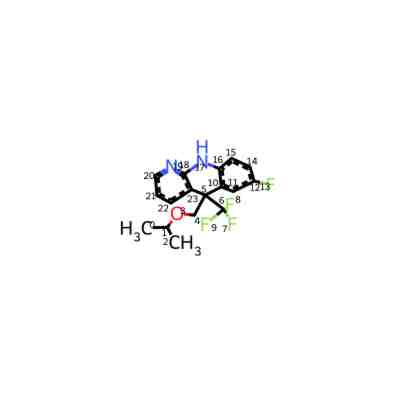 CC(C)OCC1(C(F)(F)F)c2cc(F)ccc2Nc2ncccc21